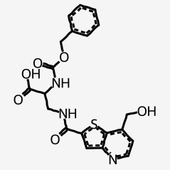 O=C(NC(CNC(=O)c1cc2nccc(CO)c2s1)C(=O)O)OCc1ccccc1